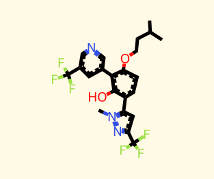 CC(C)CCOc1ccc(-c2cc(C(F)(F)F)nn2C)c(O)c1-c1cncc(C(F)(F)F)c1